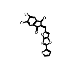 CCc1cc2c(cc1Cl)C(=O)/C(=C\c1cc3oc(-c4cccs4)nc3o1)C2=O